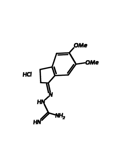 COc1cc2c(cc1OC)C(=NNC(=N)N)CC2.Cl